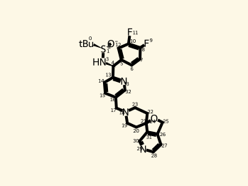 CC(C)(C)[S@@+]([O-])N[C@@H](c1ccc(F)c(F)c1)c1ccc(CN2CCC3(CC2)OCc2ccncc23)cn1